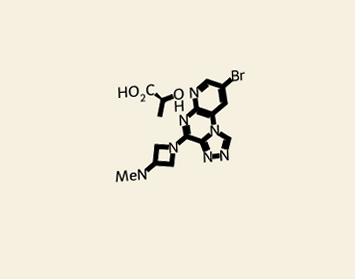 CNC1CN(c2nc3ncc(Br)cc3n3cnnc23)C1.C[C@H](O)C(=O)O